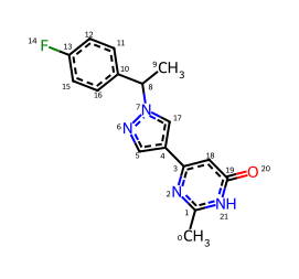 Cc1nc(-c2cnn(C(C)c3ccc(F)cc3)c2)cc(=O)[nH]1